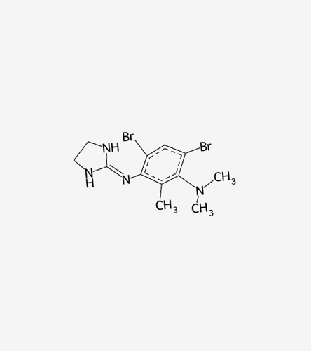 Cc1c(N=C2NCCN2)c(Br)cc(Br)c1N(C)C